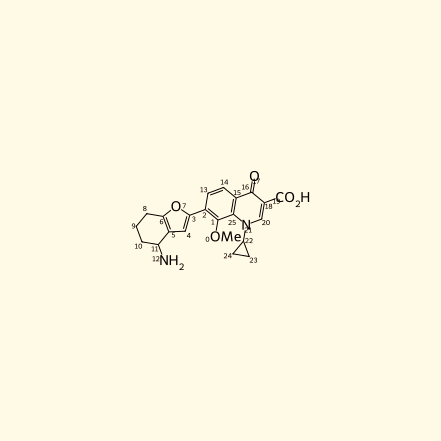 COc1c(-c2cc3c(o2)CCCC3N)ccc2c(=O)c(C(=O)O)cn(C3CC3)c12